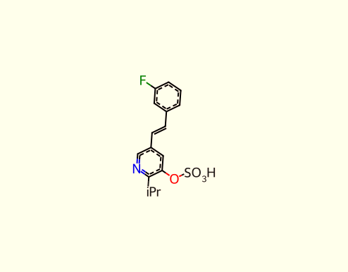 CC(C)c1ncc(/C=C/c2cccc(F)c2)cc1OS(=O)(=O)O